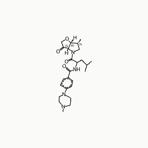 CC(C)CC(NC(=O)c1ccc(N2CCN(C)CC2)cc1)C(=O)N1C[C@H](C)[C@H]2OCC(=O)[C@H]21